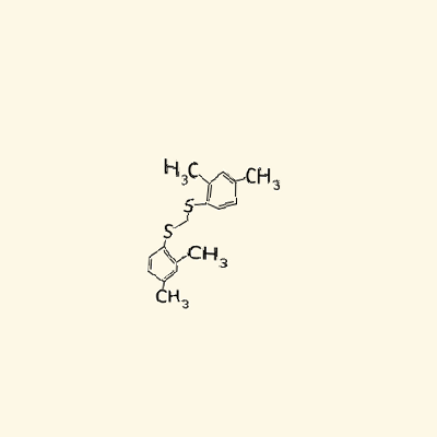 Cc1ccc(SCSc2ccc(C)cc2C)c(C)c1